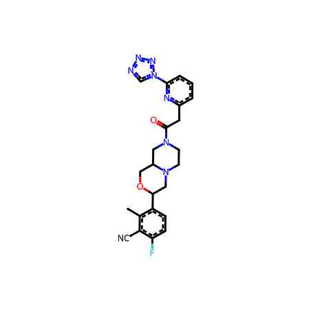 Cc1c(C2CN3CCN(C(=O)Cc4cccc(-n5cnnn5)n4)CC3CO2)ccc(F)c1C#N